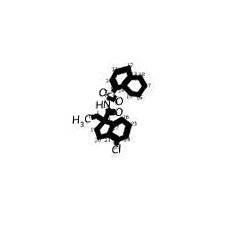 CCC1(C(=O)NS(=O)(=O)c2cccc3c2CCCC3)CCc2c(Cl)cccc21